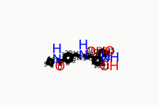 O=C(NC1CCC1)c1ccc(CCNC[C@H](O)c2ccc(O)c3[nH]c(=O)ccc23)cc1